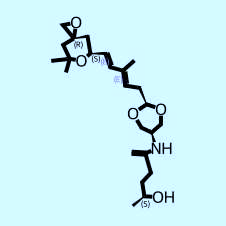 C=C(CC[C@H](C)O)N[C@H]1CO[C@@H](C/C=C(C)/C=C/[C@@H]2C[C@]3(CO3)CC(C)(C)O2)OC1